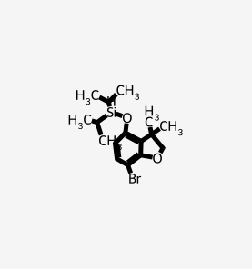 CC(C)[SiH](Oc1ccc(Br)c2c1C(C)(C)CO2)C(C)C